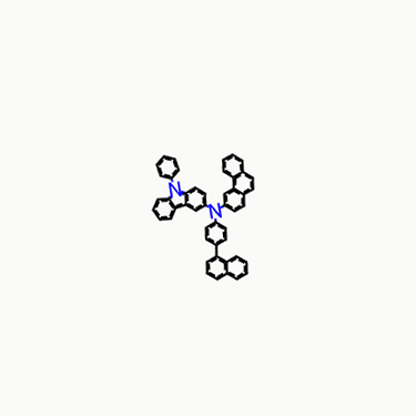 c1ccc(-n2c3ccccc3c3cc(N(c4ccc(-c5cccc6ccccc56)cc4)c4ccc5ccc6ccccc6c5c4)ccc32)cc1